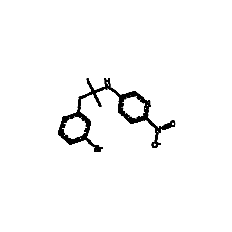 CC(C)(Cc1cccc(Br)c1)Nc1ccc([N+](=O)[O-])nc1